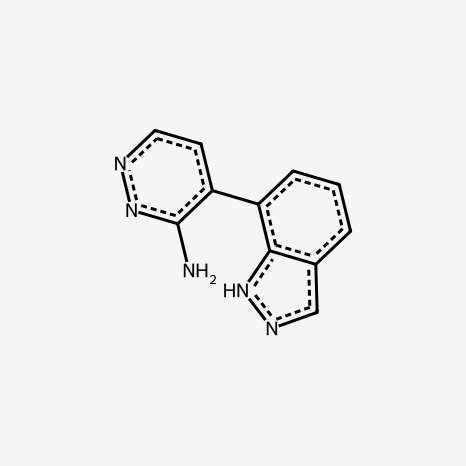 Nc1nnccc1-c1cccc2cn[nH]c12